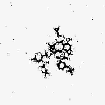 CC(=O)O[C@@]12CO[C@@H]1C[C@H](O)[C@@]1(C)C(=O)[C@H](OC(=O)C3CC3)C3=C(C)[C@@H](OC(=O)[C@H](O)[C@H](C=C(C)C)NC(=O)OC(C)(C)C)C[C@@](O)([C@@H](OC(=O)c4cccc(OC(F)(F)F)c4)[C@H]21)C3(C)C